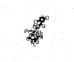 CC(C)C[C@H](NC(=O)CNC(=O)c1cc(Cl)ccc1Cl)B1OC(=O)CC(CC(=O)N(C)C)(C(=O)N(C)C)O1